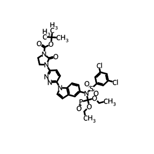 CCOC(OCC)(P=O)N(c1ccc2c(ccn2-c2ccc(N3CCN(C(=O)OC(C)(C)C)C3=O)nn2)c1)S(=O)(=O)c1cc(Cl)cc(Cl)c1